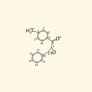 Cc1ccc(C(=O)C2OC2c2ccccc2)cc1